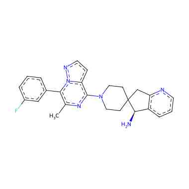 Cc1nc(N2CCC3(CC2)Cc2ncccc2[C@H]3N)c2ccnn2c1-c1cccc(F)c1